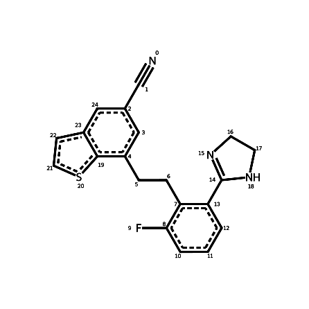 N#Cc1cc(CCc2c(F)cccc2C2=NCCN2)c2sccc2c1